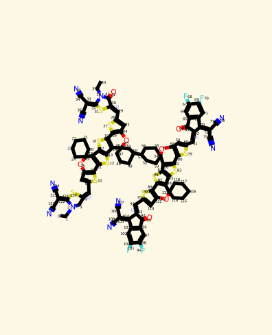 CCN1C/C(=C/c2cc3c(s2)-c2sc4c5c(sc4c2C2(CCCCC2)O3)-c2sc(/C=c3\sc(=C(C#N)C#N)n(CC)c3=O)cc2OC52CCCC(C3CCC4(CC3)Oc3cc(/C=C5\C(=O)c6cc(F)c(F)cc6C5=C(C#N)C#N)sc3-c3sc5c6c(sc5c34)-c3sc(/C=C4\C(=O)c5cc(F)c(F)cc5C4=C(C#N)C#N)cc3OC63CCCCC3)C2)SC1=C(C#N)C#N